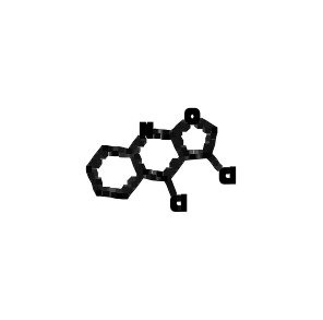 Clc1coc2nc3ccccc3c(Cl)c12